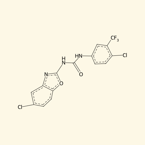 O=C(Nc1ccc(Cl)c(C(F)(F)F)c1)Nc1nc2cc(Cl)ccc2o1